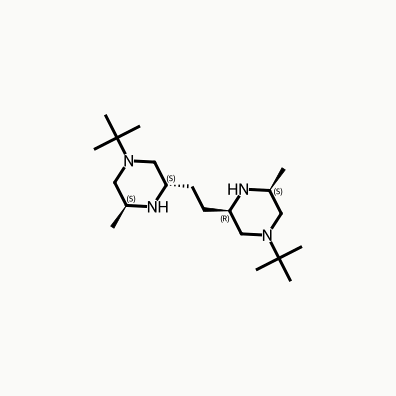 C[C@H]1CN(C(C)(C)C)C[C@@H](CC[C@H]2CN(C(C)(C)C)C[C@H](C)N2)N1